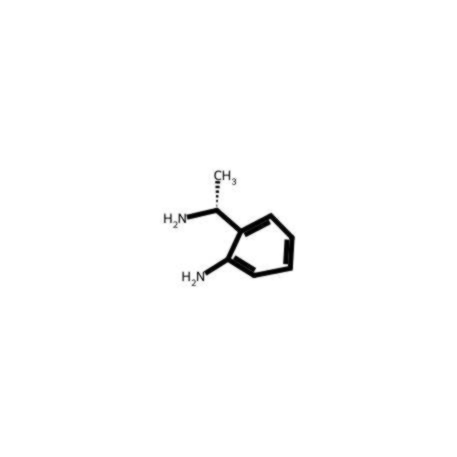 C[C@@H](N)c1ccccc1N